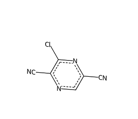 N#Cc1cnc(C#N)c(Cl)n1